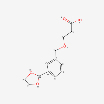 O=C(O)CCOCc1cccc(C2OCCO2)c1